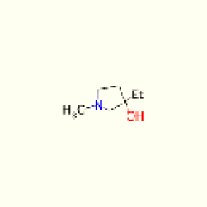 CCC1(O)CCN(C)C1